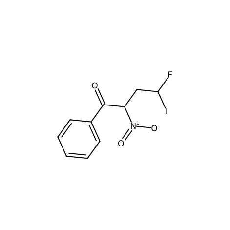 O=C(c1ccccc1)C(CC(F)I)[N+](=O)[O-]